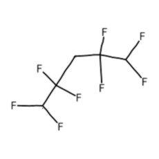 F[C](F)C(F)(F)CC(F)(F)C(F)F